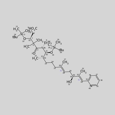 CC[C@@H](C(=O)C(C)(C)[C@H](CC(=O)O)O[Si](C)(C)C(C)(C)C)[C@@H](O[Si](C)(C)C(C)(C)C)[C@@H](C)CCC/C(C)=C/C[C@H](O)/C(C)=C/c1ccccn1